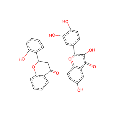 O=C1CC(c2ccccc2O)Oc2ccccc21.O=c1c(O)c(-c2ccc(O)c(O)c2)oc2ccc(O)cc12